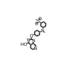 CN(c1ccc(Oc2nc(O)c3ccncc3n2)cc1)c1cccc(S(C)(=O)=O)c1